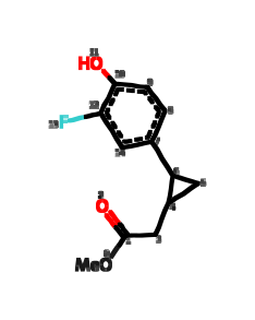 COC(=O)CC1CC1c1ccc(O)c(F)c1